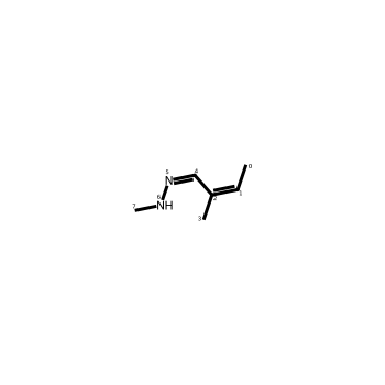 C/C=C(C)\C=N/NC